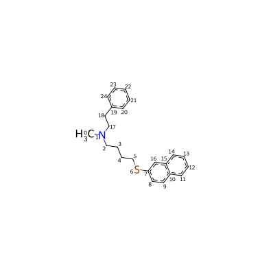 CN(CCCCSc1ccc2ccccc2c1)CCc1ccccc1